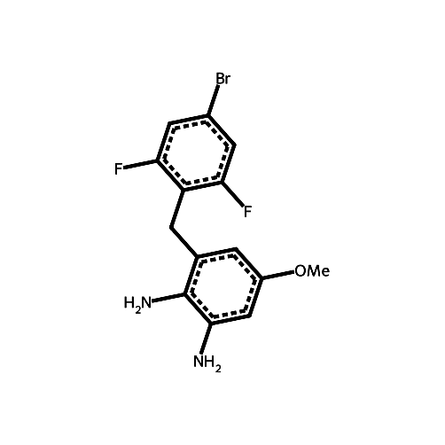 COc1cc(N)c(N)c(Cc2c(F)cc(Br)cc2F)c1